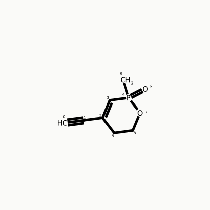 C#CC1=CP(C)(=O)OCC1